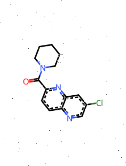 O=C(c1ccc2ncc(Cl)cc2n1)N1C[CH]CCC1